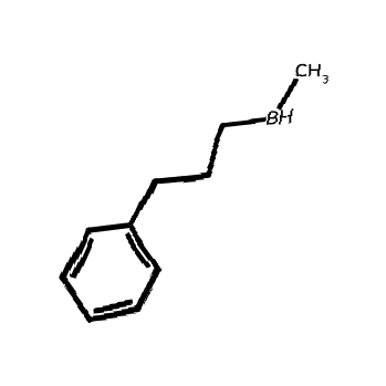 CBCCCc1ccccc1